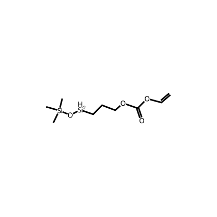 C=COC(=O)OCCC[SiH2]O[Si](C)(C)C